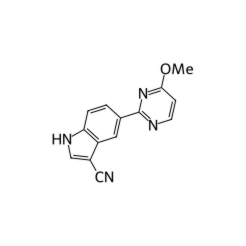 COc1ccnc(-c2ccc3[nH]cc(C#N)c3c2)n1